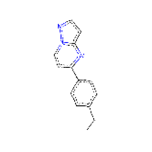 CCc1ccc(-c2ccn3nccc3n2)cc1